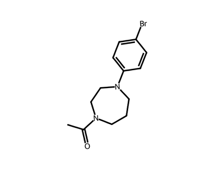 CC(=O)N1CCCN(c2ccc(Br)cc2)CC1